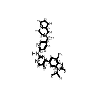 Cc1nc2c(F)cc(-c3nc(Nc4ccc([C@@H](C)N5CCN6CCCC6C5)cn4)ncc3F)cc2n1C(C)C